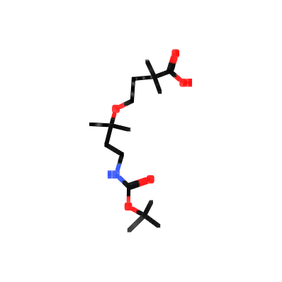 CC(C)(C)OC(=O)NCCC(C)(C)OCCC(C)(C)C(=O)O